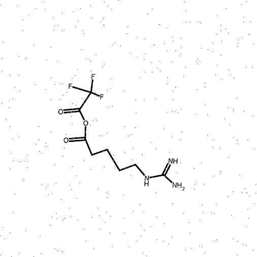 N=C(N)NCCCCC(=O)OC(=O)C(F)(F)F